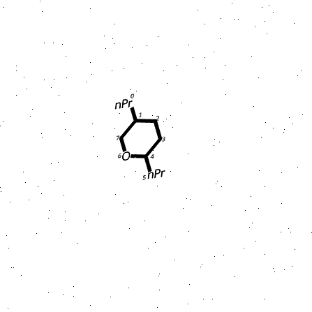 CCCC1CCC(CCC)OC1